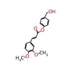 COc1ccc(/C=C/C(=O)Oc2ccc(CO)cc2)cc1OC